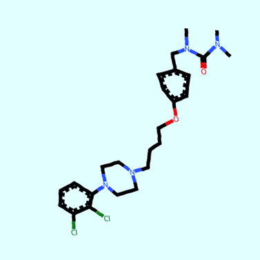 CN(C)C(=O)N(C)Cc1ccc(OCCCCN2CCN(c3cccc(Cl)c3Cl)CC2)cc1